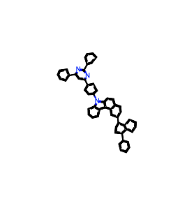 c1ccc(-c2cc(-c3ccc(-n4c5ccccc5c5c6cc(-c7ccc(-c8ccccc8)c8ccccc78)ccc6ccc54)cc3)nc(-c3ccccc3)n2)cc1